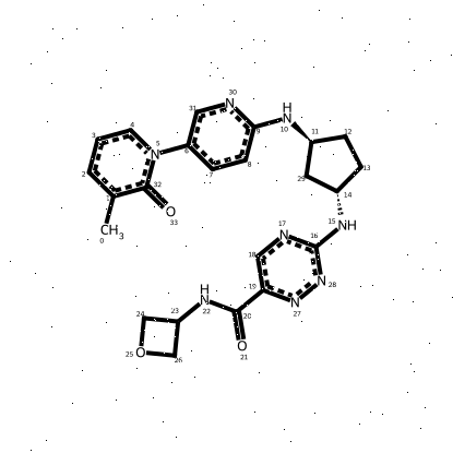 Cc1cccn(-c2ccc(N[C@H]3CC[C@H](Nc4ncc(C(=O)NC5COC5)nn4)C3)nc2)c1=O